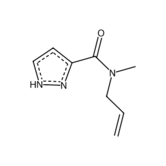 C=CCN(C)C(=O)c1cc[nH]n1